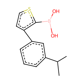 CC(C)c1cccc(-c2ccsc2B(O)O)c1